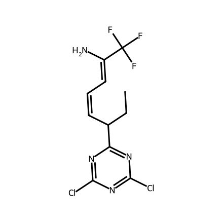 CCC(/C=C\C=C(/N)C(F)(F)F)c1nc(Cl)nc(Cl)n1